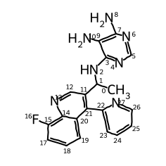 CC(Nc1ncnc(N)c1N)c1cnc2c(F)cccc2c1-c1ccccn1